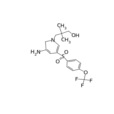 CC(C)(CO)CN1C=C(S(=O)(=O)c2ccc(OC(F)(F)F)cc2)C=C(N)C1